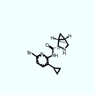 O=C(Nc1nc(Br)ccc1C1CC1)[C@H]1NC[C@H]2C[C@H]21